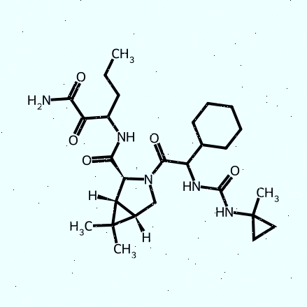 CCCC(NC(=O)[C@@H]1[C@@H]2[C@H](CN1C(=O)C(NC(=O)NC1(C)CC1)C1CCCCC1)C2(C)C)C(=O)C(N)=O